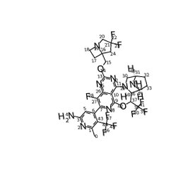 Cc1nc(N)cc(-c2nc3c4c(nc(OCC56CCN5CC(F)(F)C6)nc4c2F)N2C[C@H]4CC[C@H](N4)[C@H]2C(C(F)(F)F)O3)c1C(F)(F)F